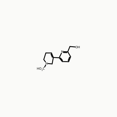 O=C(O)N1CCC=C(c2cccc(CO)n2)C1